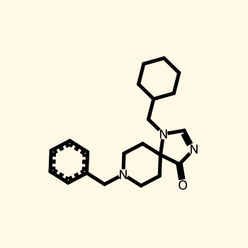 O=C1N=CN(CC2CCCCC2)C12CCN(Cc1ccccc1)CC2